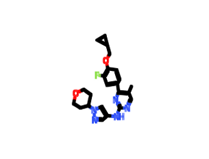 Cc1cnc(Nc2cnn(C3CCOCC3)c2)nc1-c1ccc(OCC2CC2)c(F)c1